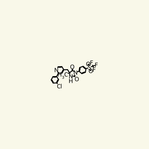 CC1(Cc2ccnc(-c3cccc(Cl)c3)c2)NC(=O)N(c2ccc(S(=O)(=O)C(F)(F)F)cc2)C1=O